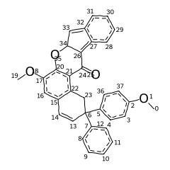 COc1ccc(C2(c3ccccc3)C=Cc3cc(OC)c4c(c3C2)C(=O)C2=c3ccccc3=CC2O4)cc1